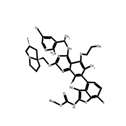 C[C@@H](Nc1nc(OC[C@@]23CCCN2C[C@H](F)C3)nc2c(F)c(-c3ccc(F)c4sc(NC(=O)OC(C)(C)C)c(C#N)c34)c(C(F)(F)F)c(OCCO)c12)c1cc(Cl)cnc1N